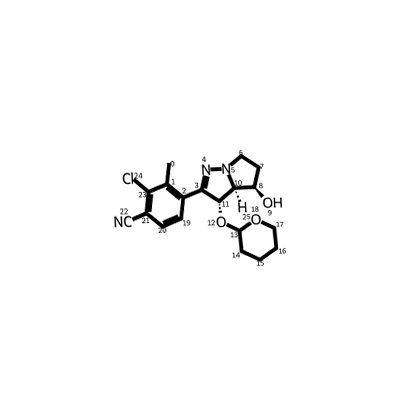 Cc1c(C2=NN3CC[C@@H](O)[C@H]3[C@@H]2OC2CCCCO2)ccc(C#N)c1Cl